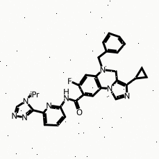 CC(C)n1cnnc1-c1cccc(NC(=O)c2cc3c(cc2F)N(Cc2ccccc2)Cc2c(C4CC4)ncn2-3)n1